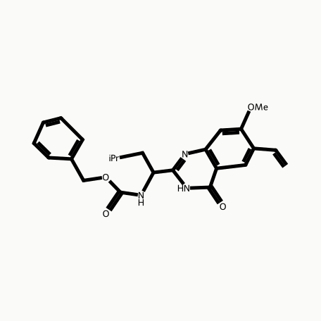 C=Cc1cc2c(=O)[nH]c(C(CC(C)C)NC(=O)OCc3ccccc3)nc2cc1OC